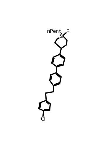 CCCCC[Si]1(F)CCC(c2ccc(-c3ccc(CCc4ccc(Cl)cc4)cc3)cc2)CC1